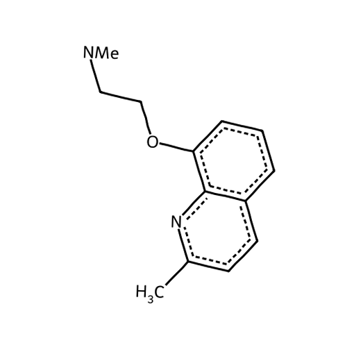 CNCCOc1cccc2ccc(C)nc12